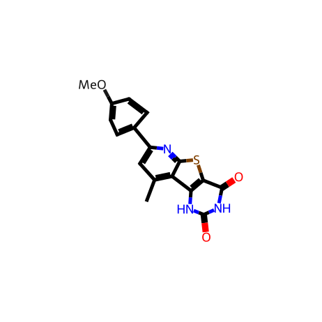 COc1ccc(-c2cc(C)c3c(n2)sc2c(=O)[nH]c(=O)[nH]c23)cc1